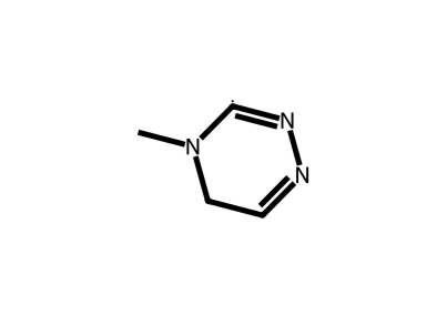 CN1[C]=NN=CC1